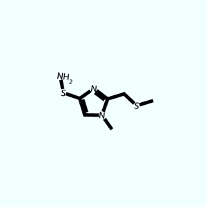 CSCc1nc(SN)cn1C